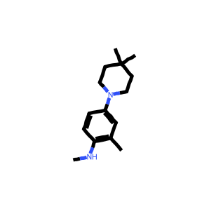 CNc1ccc(N2CCC(C)(C)CC2)cc1C